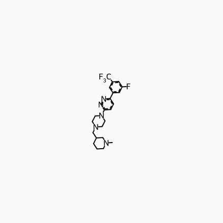 CN1CCCC(CN2CCN(c3ccc(-c4cc(F)cc(C(F)(F)F)c4)nn3)CC2)C1